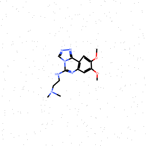 COc1cc2nc(NCCN(C)C)n3cnnc3c2cc1OC